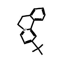 CC(C)(C)c1cc[n+]2c(c1)-c1ccccc1CC2